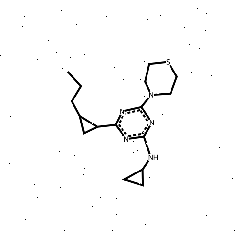 CCCC1CC1c1nc(NC2CC2)nc(N2CCSCC2)n1